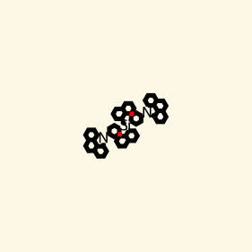 c1ccc2c([Si](c3ccc(-n4c5cccc6ccc7cccc4c7c65)cc3)(c3ccc(-n4c5cccc6ccc7cccc4c7c65)cc3)c3cccc4ccccc34)cccc2c1